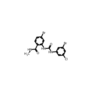 CNC(=O)c1ccc(Br)cc1NC(=O)Nc1cc(Cl)cc(Br)c1